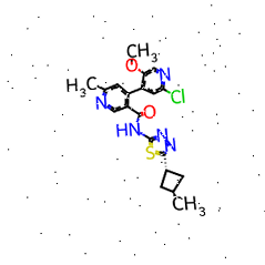 COc1cnc(Cl)cc1-c1cc(C)ncc1C(=O)Nc1nnc([C@H]2C[C@H](C)C2)s1